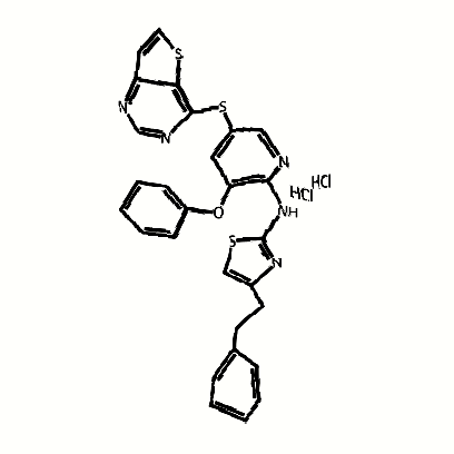 Cl.Cl.c1ccc(CCc2csc(Nc3ncc(Sc4ncnc5ccsc45)cc3Oc3ccccc3)n2)cc1